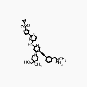 CN(C)Cc1cccc(C#Cc2cnc(Nc3ccnc(-c4cnn(S(=O)(=O)C5CC5)c4)n3)cc2N2CCC(C)(CO)CC2)c1